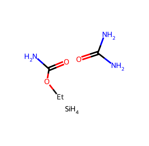 CCOC(N)=O.NC(N)=O.[SiH4]